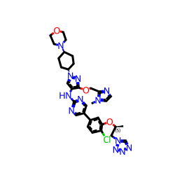 C[C@@H](Cn1cnnn1)Oc1cc(-c2cnc(Nc3cn([C@H]4CC[C@H](N5CCOCC5)CC4)nc3OCc3nccn3C)nc2)ccc1Cl